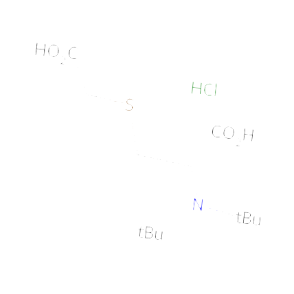 CC(C)(C)N(C(CSCC(=O)O)C(=O)O)C(C)(C)C.Cl